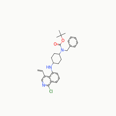 C=Cc1cnc(Cl)c2cccc(NC3CCC(N(Cc4ccccc4)C(=O)OC(C)(C)C)CC3)c12